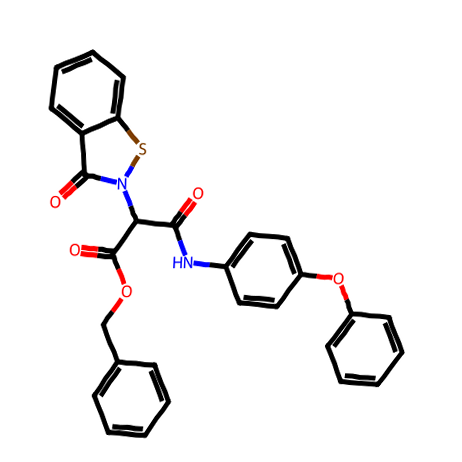 O=C(Nc1ccc(Oc2ccccc2)cc1)C(C(=O)OCc1ccccc1)n1sc2ccccc2c1=O